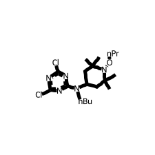 CCCCN(c1nc(Cl)nc(Cl)n1)C1CC(C)(C)N(OCCC)C(C)(C)C1